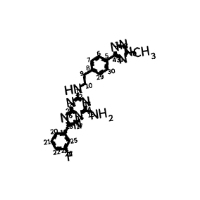 Cn1nnc(-c2ccc(CCNc3nc(N)n4nc(-c5cccc(F)c5)nc4n3)cc2)n1